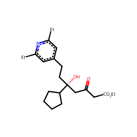 CCOC(=O)CC(=O)C[C@](O)(CCc1cc(CC)nc(CC)c1)C1CCCC1